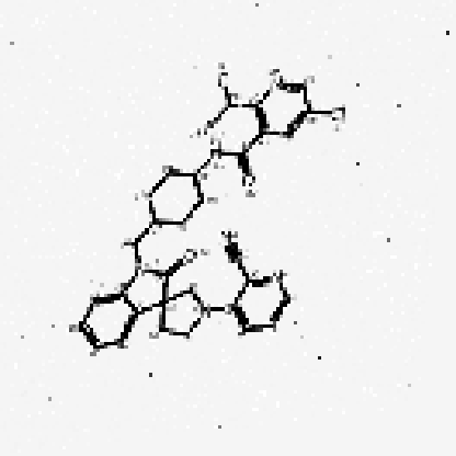 N#Cc1ncccc1N1CCC2(C1)C(=O)N(CC1CCC(NC(=O)c3cc(Cl)cnc3C(F)F)CC1)c1ccccc12